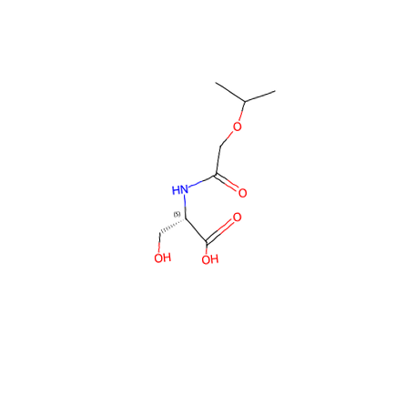 CC(C)OCC(=O)N[C@@H](CO)C(=O)O